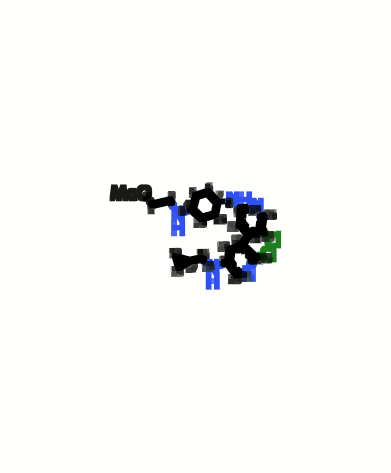 COCCN[C@H]1CC[C@H](Nc2cc(-c3cc(NCC4CC4)cnc3Cl)c(Cl)cn2)CC1